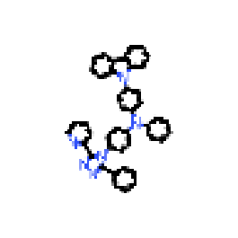 c1ccc(-c2nnc(-c3ccccn3)n2-c2ccc(N(c3ccccc3)c3ccc(-n4c5ccccc5c5ccccc54)cc3)cc2)cc1